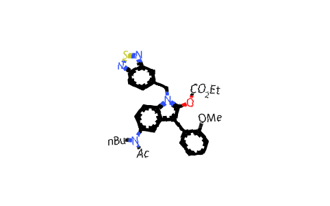 CCCCN(C(C)=O)c1ccc2c(c1)c(-c1ccccc1OC)c(OC(=O)OCC)n2Cc1ccc2nsnc2c1